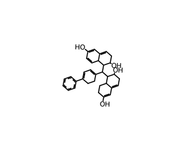 OC1=CC2=CCC(O)C(C(C3=CC=C(c4ccccc4)CC3)C3C(O)CC=C4C=C(O)CCC43)C2C=C1